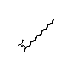 [CH2]C(CCCCCCCCCC)[SiH](C)C